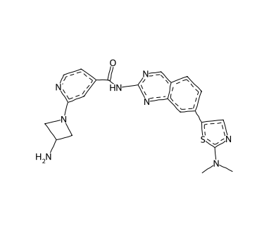 CN(C)c1ncc(-c2ccc3cnc(NC(=O)c4ccnc(N5CC(N)C5)c4)nc3c2)s1